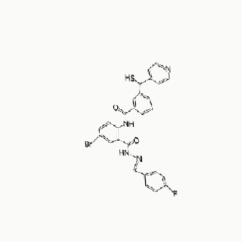 O=C(Nc1ccc(Br)cc1C(=O)N/N=C/c1ccc(F)cc1)c1cccc(C(S)c2ccncc2)c1